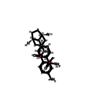 Cc1cc(N)ccc1C(=O)N[C@H]1C[C@H]2CC[C@@H](C1)N2c1ccc(C(N)=O)cn1